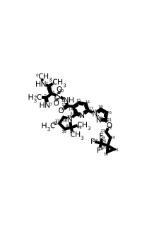 CN/C(C)=C(\C(C)=N)S(=O)(=O)NC(=O)c1ccc(-n2ccc(OCCC3(C(F)(F)F)CC3)n2)nc1N1C[C@@H](C)CC1(C)C